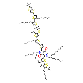 C=Cc1sc(-c2sc(-c3ccc(C4C(C=O)/C(=C(/c5ccc(-c6cc(CCCCCC)c(C(C)(C)C)s6)s5)N(C)CC(CCCCCC)CCCCCCCC)C(=O)N4CC(CCCCCC)CCCCCCCC)s3)cc2CCCCCC)cc1SC(C)(C)C(C)(C)c1cc(CCCCCC)c(-c2sc(-c3cc4sc(C(C)(C)C)cc4s3)cc2CCCCCC)s1